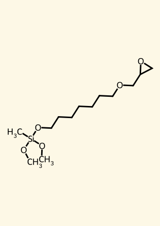 CO[Si](C)(OC)OCCCCCCCOCC1CO1